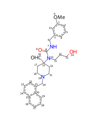 COc1cccc(CNC(=O)N(CCCO)C2(C=O)CCN(Cc3cccc4ccccc34)CC2)c1